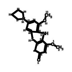 COC1=CC(=O)CC2=C1Nc1c(OC)cc(N3CCCC3)cc1S2